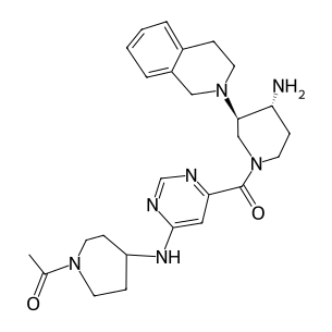 CC(=O)N1CCC(Nc2cc(C(=O)N3CC[C@@H](N)[C@H](N4CCc5ccccc5C4)C3)ncn2)CC1